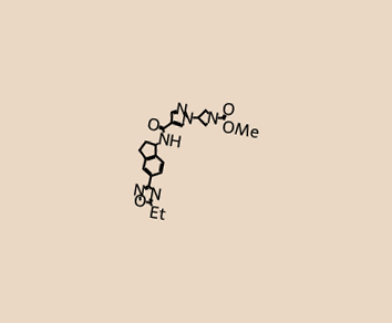 CCc1nc(-c2ccc3c(c2)CC[C@H]3NC(=O)c2cnn(C3CN(C(=O)OC)C3)c2)no1